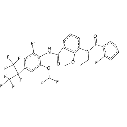 CCN(C(=O)c1ccccc1F)c1cccc(C(=O)Nc2c(Br)cc(C(F)(C(F)(F)F)C(F)(F)F)cc2OC(F)F)c1OC